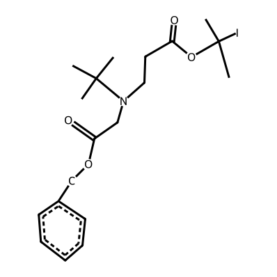 CC(C)(I)OC(=O)CCN(CC(=O)OCc1ccccc1)C(C)(C)C